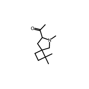 CC(=O)C1CC2(CCC2(C)C)CN1C